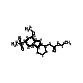 CCOC(=O)CC1CCCc2c1cc1c(OC)cc(S(C)(=O)=O)cn21